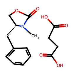 CN1C(=O)OC[C@H]1Cc1ccccc1.O=C(O)CCC(=O)O